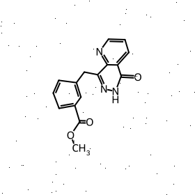 COC(=O)c1cccc(Cc2n[nH]c(=O)c3cccnc23)c1